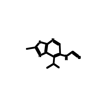 Cc1nc2c(C(C)C)c(NC=O)cnc2s1